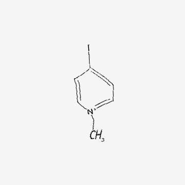 C[n+]1ccc(I)cc1